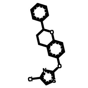 Clc1csc(Oc2ccc3c(c2)CCC(c2ccccc2)O3)n1